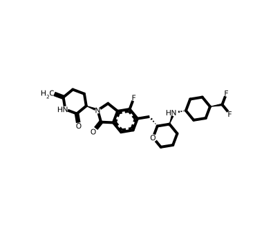 C=C1CC[C@@H](N2Cc3c(ccc(C[C@H]4OCCC[C@@H]4N[C@H]4CC[C@H](C(F)F)CC4)c3F)C2=O)C(=O)N1